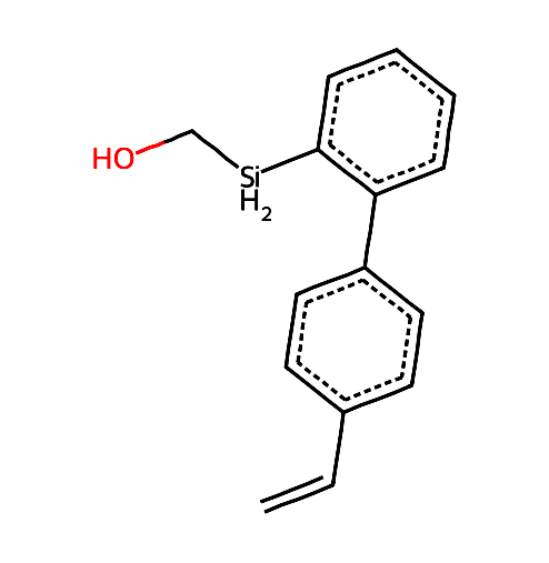 C=Cc1ccc(-c2ccccc2[SiH2]CO)cc1